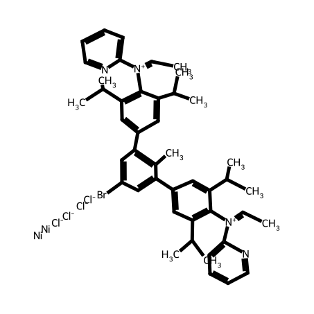 CC=[N+](c1ccccn1)c1c(C(C)C)cc(-c2cc(Br)cc(-c3cc(C(C)C)c([N+](=CC)c4ccccn4)c(C(C)C)c3)c2C)cc1C(C)C.[Cl-].[Cl-].[Cl-].[Cl-].[Ni].[Ni]